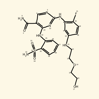 NC(=O)c1cnc(Nc2cc(NCCOCCO)ccc2F)nc1Nc1ccccc1S(N)(=O)=O